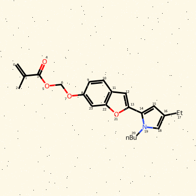 C=C(C)C(=O)OCOc1ccc2cc(-c3cc(CC)cn3CCCC)oc2c1